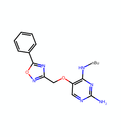 CCCCNc1nc(N)ncc1OCc1noc(-c2ccccc2)n1